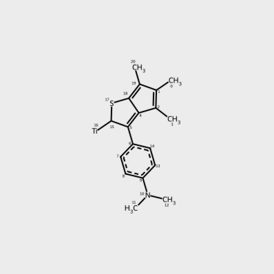 CC1=C(C)C2=C(c3ccc(N(C)C)cc3)[CH]([Ti])SC2=C1C